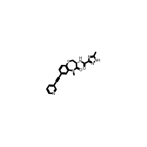 Cc1nc(C(=O)N[C@H]2CSc3ccc(C#Cc4cccnc4)cc3N(C)C2=O)n[nH]1